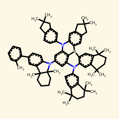 Cc1ccccc1-c1ccc2c(c1)C1(C)CCCCC1(C)N2c1cc2c3c(c1)N(c1ccc4c(c1)C(C)(C)CCC4(C)C)c1cc4c(cc1B3c1cc3c(cc1N2c1ccc2c(c1)CC(C)(C)C2)CC(C)(C)C3)C(C)(C)CCC4(C)C